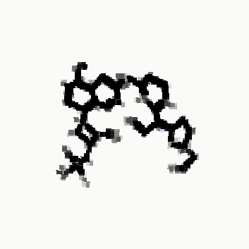 COC[C@H]1CC/C(=C(/C=N)c2nccc(Nc3cc4c(C(C)C)ccc(N5C[C@H](CS(C)(=O)=O)[C@H]5N)c4cn3)n2)N1